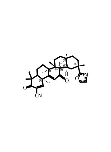 CC1(C)C(=O)C(C#N)=C[C@]2(C)C3=CC(=O)[C@@H]4[C@@H]5C[C@@](C)(c6ncco6)CC[C@]5(C)CC[C@@]4(C)[C@]3(C)CCC12